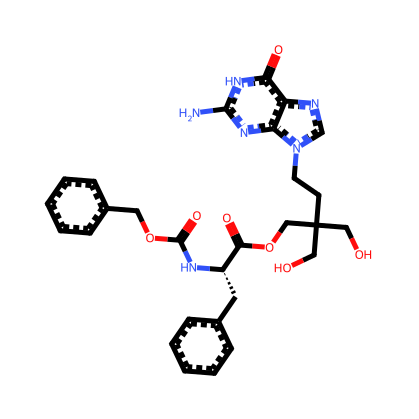 Nc1nc2c(ncn2CCC(CO)(CO)COC(=O)[C@H](Cc2ccccc2)NC(=O)OCc2ccccc2)c(=O)[nH]1